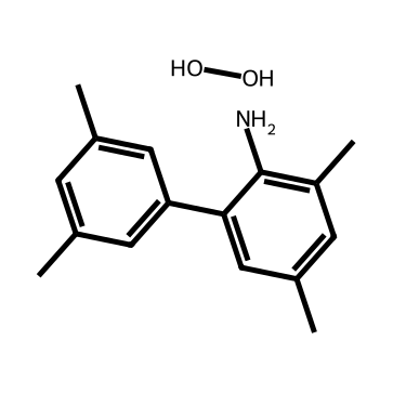 Cc1cc(C)cc(-c2cc(C)cc(C)c2N)c1.OO